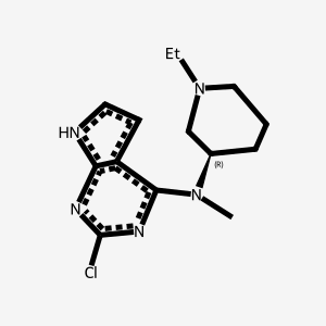 CCN1CCC[C@@H](N(C)c2nc(Cl)nc3[nH]ccc23)C1